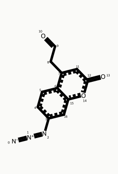 [N-]=[N+]=Nc1ccc2c(CC=O)cc(=O)oc2c1